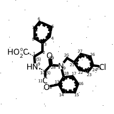 O=C(O)[C@H](Cc1ccccc1)N[C@H]1COc2ccccc2N(Cc2ccc(Cl)cc2)C1=O